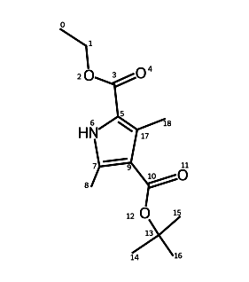 CCOC(=O)c1[nH]c(C)c(C(=O)OC(C)(C)C)c1C